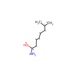 CC(C)CCCCCC(N)O